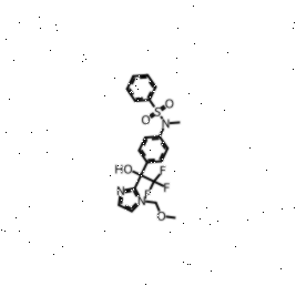 COCn1ccnc1C(O)(c1ccc(N(C)S(=O)(=O)c2ccccc2)cc1)C(F)(F)F